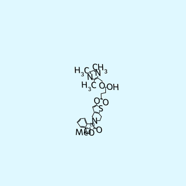 COC(=O)[C@H](c1ccccc1Cl)N1CCc2sc(OC(=O)CCC(O)OCc3nc(C)c(C)nc3C)cc2C1